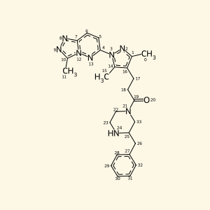 Cc1nn(-c2ccc3nnc(C)n3n2)c(C)c1CCC(=O)N1CCNC(Cc2ccccc2)C1